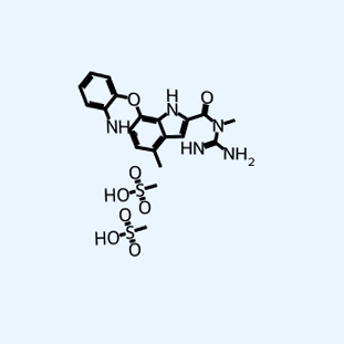 CS(=O)(=O)O.CS(=O)(=O)O.Cc1ccc(Oc2ccccc2N)c2[nH]c(C(=O)N(C)C(=N)N)cc12